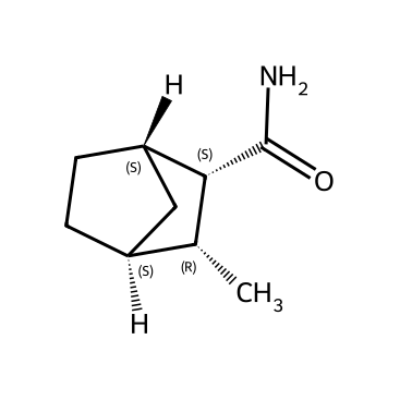 C[C@@H]1[C@H]2CC[C@@H](C2)[C@@H]1C(N)=O